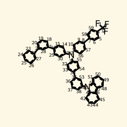 FC(F)(F)c1ccc(-c2ccc(N(c3ccc(-c4cccc(-c5ccccc5)c4)cc3)c3ccc(-c4cccc(-n5c6ccccc6c6ccccc65)c4)cc3)cc2)cc1